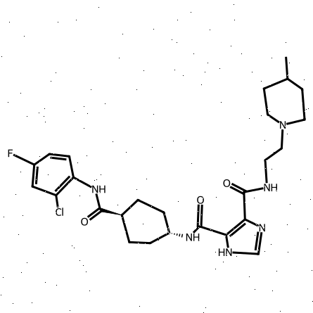 CC1CCN(CCNC(=O)c2nc[nH]c2C(=O)N[C@H]2CC[C@H](C(=O)Nc3ccc(F)cc3Cl)CC2)CC1